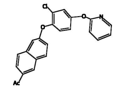 CC(=O)c1ccc2cc(Oc3ccc(Oc4ccccn4)cc3Cl)ccc2c1